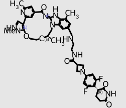 CN/C1=C(\C=N)c2cc(cc(C)n2)C(=O)/N=C2\Nc3c(C)cc(CNCCNC(=O)C4CN(c5cc(F)c([C@H]6CCC(=O)NC6=O)c(F)c5)C4)cc3N2C[C@@H](C)CCCO1